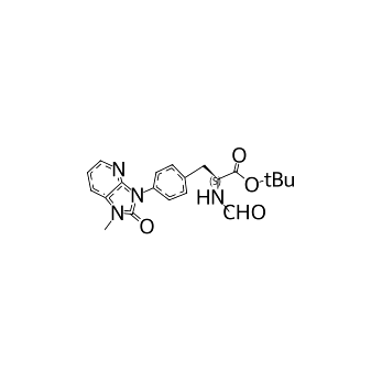 Cn1c(=O)n(-c2ccc(C[C@H](NC=O)C(=O)OC(C)(C)C)cc2)c2ncccc21